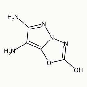 Nc1nn2nc(O)oc2c1N